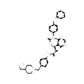 O=C(Nc1ccc(CN2CCC(CO)CC2)cc1)c1sc2ncnc3c2c1NC(=O)N3c1ccc(Oc2ccccc2)cc1